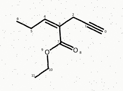 C#CCC(=CCC)C(=O)OCC